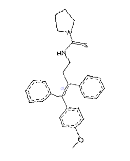 COc1ccc(/C(=C(/CCNC(=S)N2CCCC2)c2ccccc2)c2ccccc2)cc1